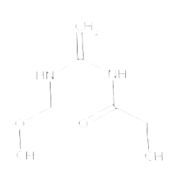 C=C(NCOC)NC(=O)CC